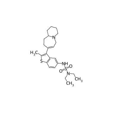 CCN(CC)S(=O)(=O)Nc1ccc2sc(C)c(C3=CCN4CCCCC4CC3)c2c1